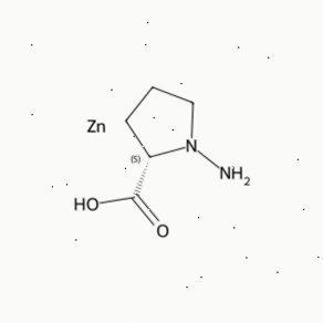 NN1CCC[C@H]1C(=O)O.[Zn]